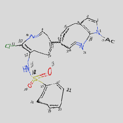 CC(=O)n1ccc2cc(-c3cnc(Cl)c(NS(=O)(=O)c4ccccc4)c3)cnc21